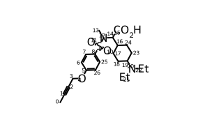 CC#CCOc1ccc(S(=O)(=O)N(C)C(C(=O)O)C2CCC(N(CC)CC)CC2)cc1